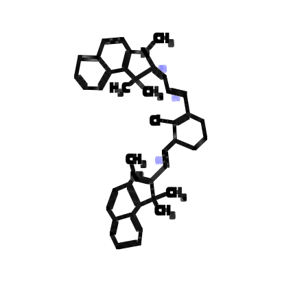 CN1/C(=C/C=C/C2=C(Cl)C(/C=C/C3=[N+](C)c4ccc5ccccc5c4C3(C)C)CCC2)C(C)(C)c2c1ccc1ccccc21